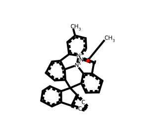 Cc1cc[n+]2c(c1)-c1cccc3c1[N+]21c2c(cccc2C32c3ccccc3-c3ccccc32)-c2cc(C)cc[n+]21